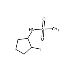 CS(=O)(=O)NC1CCCC1I